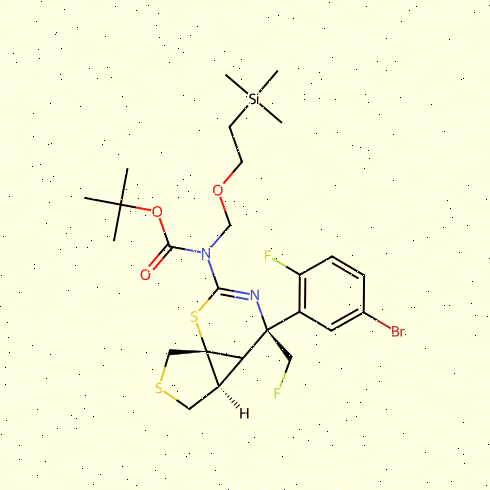 CC(C)(C)OC(=O)N(COCC[Si](C)(C)C)C1=N[C@](CF)(c2cc(Br)ccc2F)C2[C@H]3CSC[C@@]23S1